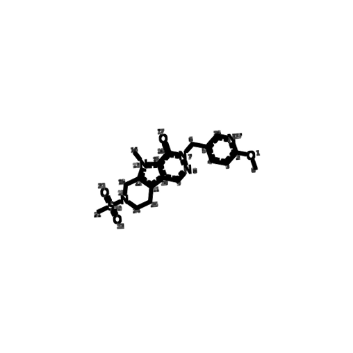 COc1ccc(Cn2ncc3c4c(n(C)c3c2=O)CN(S(C)(=O)=O)CC4)cn1